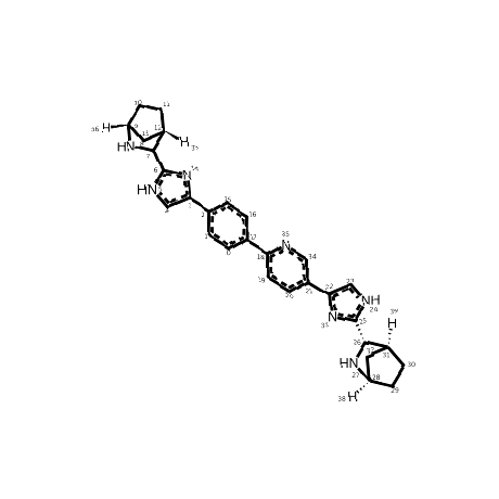 c1cc(-c2c[nH]c(C3N[C@@H]4CC[C@H]3C4)n2)ccc1-c1ccc(-c2c[nH]c([C@H]3N[C@@H]4CC[C@H]3C4)n2)cn1